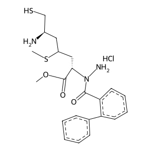 COC(=O)[C@H](CC(C[C@@H](N)CS)SC)N(N)C(=O)c1ccccc1-c1ccccc1.Cl